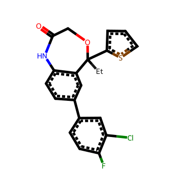 CCC1(c2cccs2)OCC(=O)Nc2ccc(-c3ccc(F)c(Cl)c3)cc21